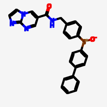 O=C(NCc1ccc([S+]([O-])c2ccc(-c3ccccc3)cc2)cc1)c1cnc2nccn2c1